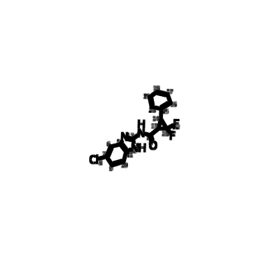 O=C(Nc1nc2cc(Cl)ccc2[nH]1)C1C(c2ccccc2)C1(F)F